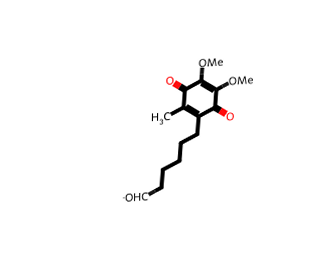 COC1=C(OC)C(=O)C(CCCCC[C]=O)=C(C)C1=O